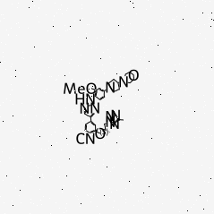 COc1cc(N2CCC(N3CCOCC3)CC2)ccc1Nc1ncc(-c2ccc(C#N)c(O[C@@H](C)Cn3nnc(C)n3)c2)cn1